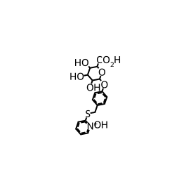 O=C(O)C1OC(Oc2ccc(CSc3cccc[n+]3O)cc2)C(O)C(O)C1O